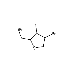 CC(C)CC1SCC(Br)C1C